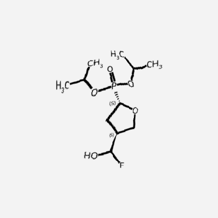 CC(C)OP(=O)(OC(C)C)[C@H]1C[C@H](C(O)F)CO1